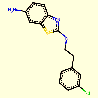 Nc1ccc2nc(NCCc3cccc(Cl)c3)sc2c1